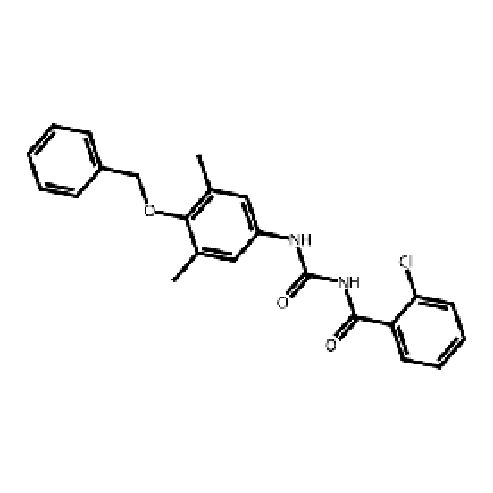 Cc1cc(NC(=O)NC(=O)c2ccccc2Cl)cc(C)c1OCc1ccccc1